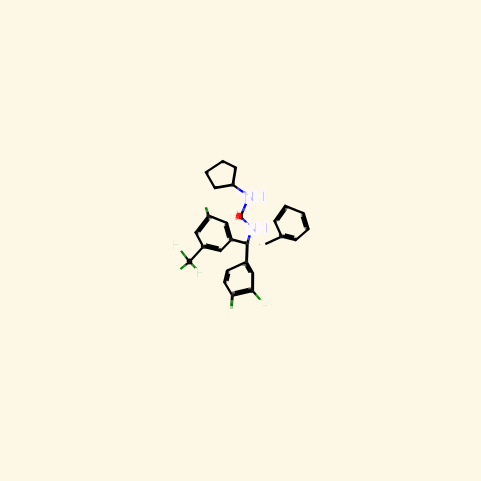 O=C(NC1CCCC1)N[C@](Cc1ccccc1)(c1cc(F)cc(C(F)(F)F)c1)c1ccc(F)c(Br)c1